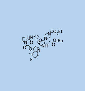 CCOC(=O)N1CCN(C(=O)[C@H](CCC(=O)OC(C)(C)C)NC(=O)c2cc(OCC(=O)N3CCC[C@H]3C(=O)NC3CCC3)c3c(C)c(F)ccc3n2)CC1